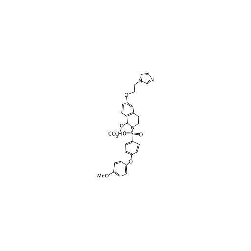 COc1ccc(Oc2ccc(S(=O)(=O)N3CCc4cc(OCCn5ccnc5)ccc4C3OC(=O)O)cc2)cc1